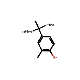 CCCCCCC(C)(CCCCCC)c1ccc(Br)c(C)c1